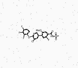 COc1cc(C(=O)NS(C)(=O)=O)c(F)cc1-c1cnc(Oc2ccc(F)c(F)c2F)c(Cl)c1